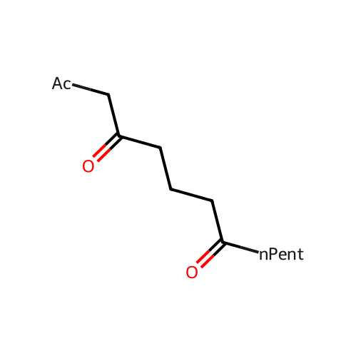 CCCCCC(=O)CCCC(=O)CC(C)=O